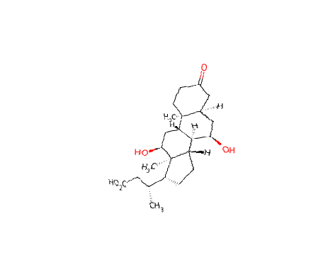 C[C@H](CC(=O)O)[C@H]1CC[C@H]2[C@@H]3[C@H](O)C[C@@H]4CC(=O)CC[C@]4(C)[C@H]3C[C@H](O)[C@]12C